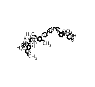 CCOc1cc(N2CCC(N3CCN(CC4CCN(c5cccc6c5oc(=O)n6C5CCC(=O)NC5=O)C4)CC3)CC2)c(CC)cc1Nc1ncc(Br)c(Nc2ccc3nc(CC)ccc3c2P(C)(C)=O)n1